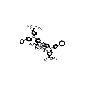 CC(C)c1ccc(N(c2ccc(C3CCCCC3)cc2)c2ccc(/C=C/c3ccc(N(c4ccc(C(C)C)cc4)c4ccc(C5CCCCC5)cc4)cc3C(C)(C)C)c(C(C)(C)C)c2)cc1